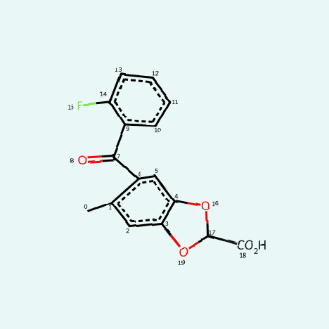 Cc1cc2c(cc1C(=O)c1ccccc1F)OC(C(=O)O)O2